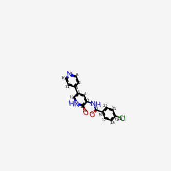 O=C(Nc1cc(-c2ccncc2)c[nH]c1=O)c1ccc(Cl)cc1